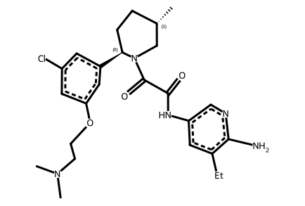 CCc1cc(NC(=O)C(=O)N2C[C@@H](C)CC[C@@H]2c2cc(Cl)cc(OCCN(C)C)c2)cnc1N